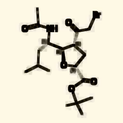 CC(=O)N[C@@H](CC(C)C)[C@@H]1O[C@@H](C(=O)OC(C)(C)C)C[C@H]1C(=O)CBr